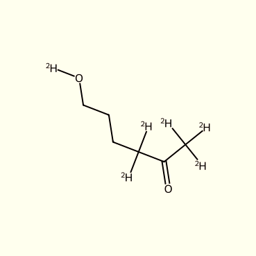 [2H]OCCCC([2H])([2H])C(=O)C([2H])([2H])[2H]